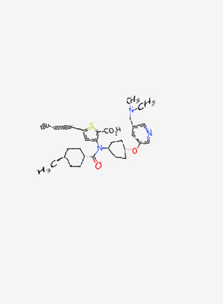 CN(C)Cc1cncc(O[C@H]2CC[C@H](N(c3cc(C#CC(C)(C)C)sc3C(=O)O)C(=O)[C@H]3CC[C@H](C)CC3)CC2)c1